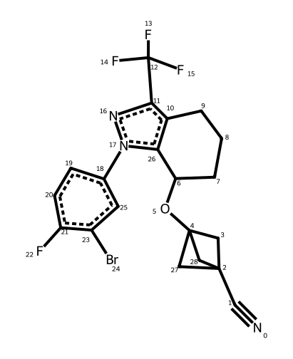 N#CC12CC(OC3CCCc4c(C(F)(F)F)nn(-c5ccc(F)c(Br)c5)c43)(C1)C2